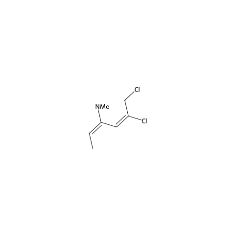 C/C=C(\C=C(\Cl)CCl)NC